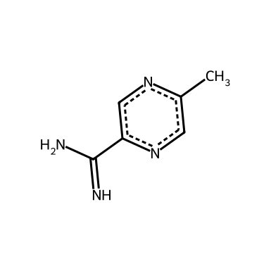 Cc1cnc(C(=N)N)cn1